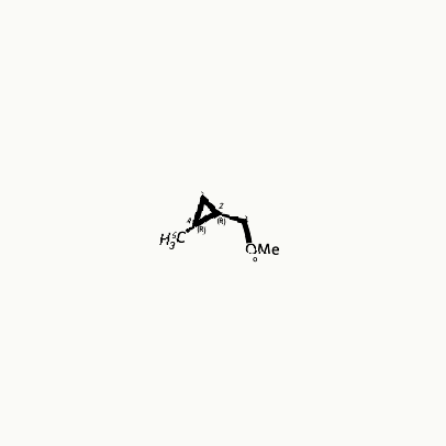 COC[C@@H]1C[C@H]1C